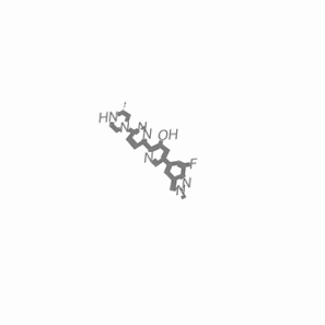 C[C@@H]1CN(c2ccc(-c3ncc(-c4cc(F)c5nn(C)cc5c4)cc3O)nn2)CCN1